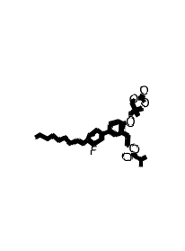 C=C(C)C(=O)OCCc1cc(-c2ccc(CCCCCCCCC)c(F)c2)ccc1OCC1(C)COC(=O)OC1